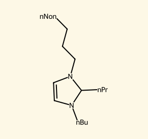 CCCCCCCCCCCCN1C=CN(CCCC)C1CCC